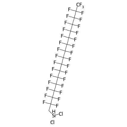 FC(F)(F)C(F)(F)C(F)(F)C(F)(F)C(F)(F)C(F)(F)C(F)(F)C(F)(F)C(F)(F)C(F)(F)C(F)(F)C(F)(F)C(F)(F)C(F)(F)C(F)(F)C(F)(F)C[SiH](Cl)Cl